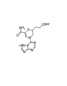 COCCC1CN(c2ncnc3nc[nH]c23)C=C(C(N)=O)S1